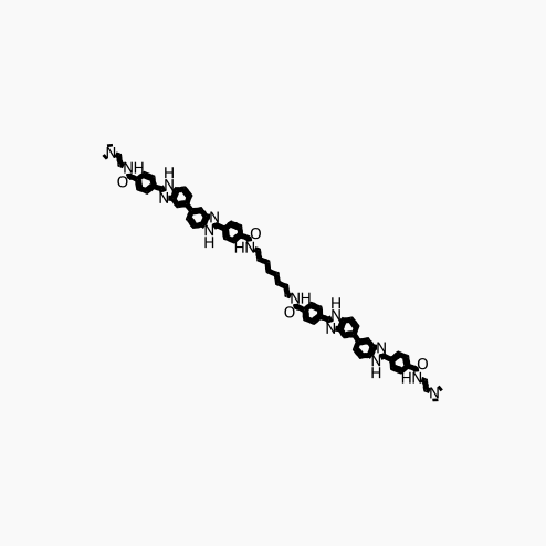 CN(C)CCNC(=O)c1ccc(-c2nc3cc(-c4ccc5[nH]c(-c6ccc(C(=O)NCCCCCCCCNC(=O)c7ccc(-c8nc9cc(-c%10ccc%11[nH]c(-c%12ccc(C(=O)NCCN(C)C)cc%12)nc%11c%10)ccc9[nH]8)cc7)cc6)nc5c4)ccc3[nH]2)cc1